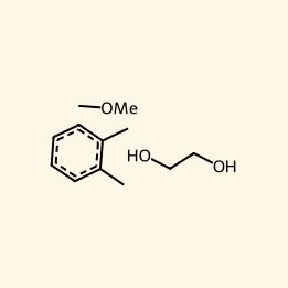 COC.Cc1ccccc1C.OCCO